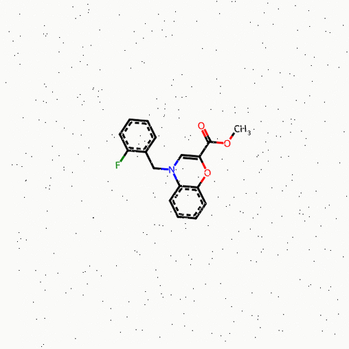 COC(=O)C1=CN(Cc2ccccc2F)c2ccccc2O1